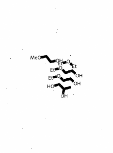 CC(O)CO.CCOCC.CCOCCO.CCOCCO.COCCO